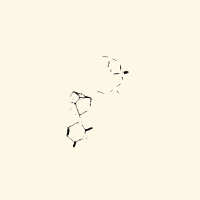 O=c1ccn([C@@H]2O[C@@]3(COP(=O)(O)OP(=O)(O)OP(=O)(O)O)C4O[C@@H]2[C@@]43S)c(=O)[nH]1